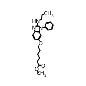 CCCNc1nc2ccc(OCCCCCC(=O)OC)cc2n1-c1ccccc1